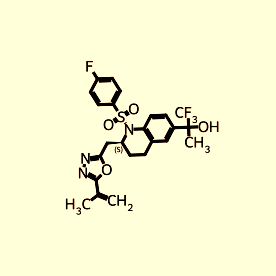 C=C(C)c1nnc(C[C@@H]2CCc3cc(C(C)(O)C(F)(F)F)ccc3N2S(=O)(=O)c2ccc(F)cc2)o1